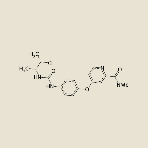 CNC(=O)c1cc(Oc2ccc(NC(=O)NC(C)[C@H](C)Cl)cc2)ccn1